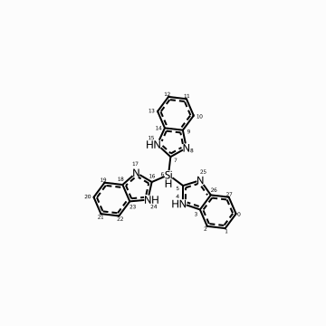 c1ccc2[nH]c([SiH](c3nc4ccccc4[nH]3)c3nc4ccccc4[nH]3)nc2c1